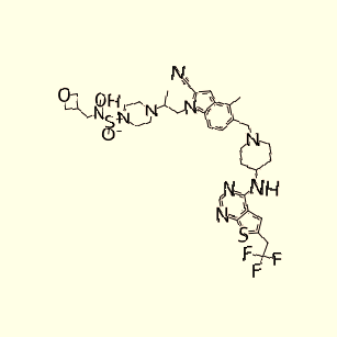 Cc1c(CN2CCC(Nc3ncnc4sc(CC(F)(F)F)cc34)CC2)ccc2c1cc(C#N)n2CC(C)N1CCN([S+]([O-])N(O)CC2COC2)CC1